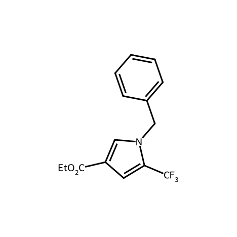 CCOC(=O)c1cc(C(F)(F)F)n(Cc2ccccc2)c1